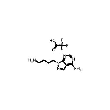 NCCCCn1ncc2c(N)ncnc21.O=C(O)C(F)(F)F